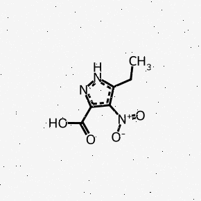 CCc1[nH]nc(C(=O)O)c1[N+](=O)[O-]